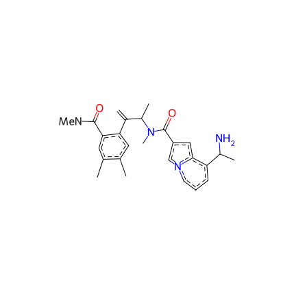 C=C(c1cc(C)c(C)cc1C(=O)NC)C(C)N(C)C(=O)c1cc2c(C(C)N)cccn2c1